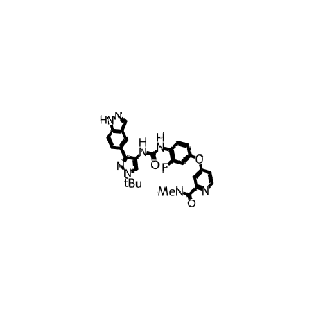 CNC(=O)c1cc(Oc2ccc(NC(=O)Nc3cn(C(C)(C)C)nc3-c3ccc4[nH]ncc4c3)c(F)c2)ccn1